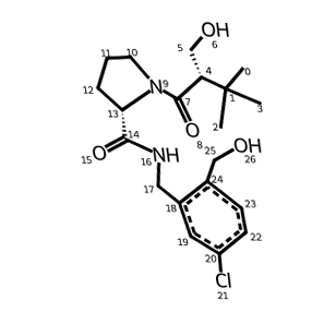 CC(C)(C)[C@@H](CO)C(=O)N1CCC[C@H]1C(=O)NCc1cc(Cl)ccc1CO